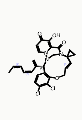 C=C(/C=C\C=C/C)[C@@H]1c2ccc(Cl)c(Cl)c2OC/C=C/C2(CC2)N2CN1n1ccc(=O)c(O)c1C2=O